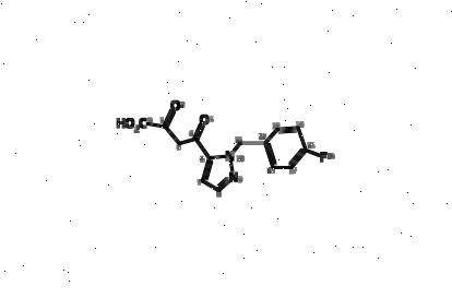 O=C(O)C(=O)CC(=O)c1ccnn1Cc1ccc(F)cc1